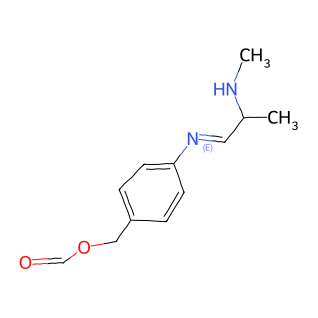 CNC(C)/C=N/c1ccc(COC=O)cc1